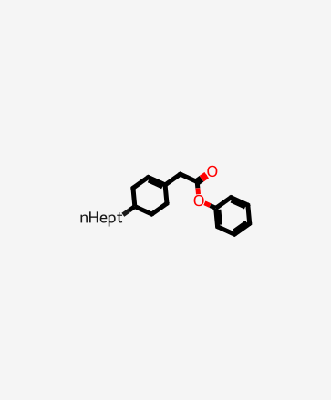 CCCCCCCC1CC=C(CC(=O)Oc2ccccc2)CC1